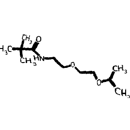 CC(C)OCCOCCNC(=O)C(C)(C)C